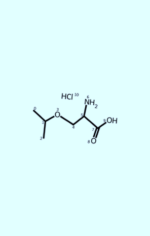 CC(C)OCC(N)C(=O)O.Cl